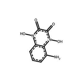 Nc1cccc2c1n(O)c(=O)c(=O)n2O